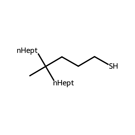 CCCCCCCC(C)(CCCS)CCCCCCC